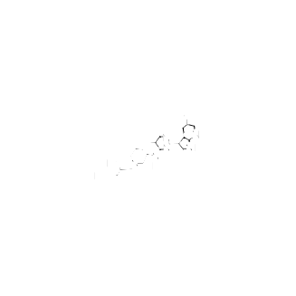 CC[C@H](O)CN1CCCC(Nc2nc(-c3c[nH]c4ncc(Cl)cc34)ncc2F)C1